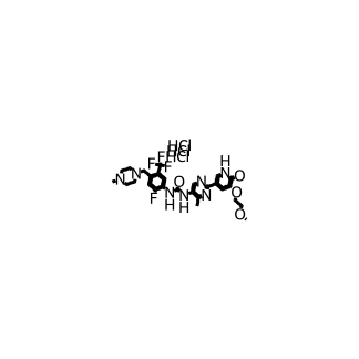 COCCOc1cc(-c2ncc(NC(=O)Nc3cc(C(F)(F)F)c(CN4CCN(C)CC4)cc3F)c(C)n2)c[nH]c1=O.Cl.Cl.Cl